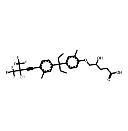 CCC(CC)(c1ccc(C#CC(O)(C(F)(F)F)C(F)(F)F)c(C)c1)c1ccc(OCC(O)CCC(=O)O)c(C)c1